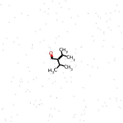 C[C](C)C([C]=O)=C(C)C